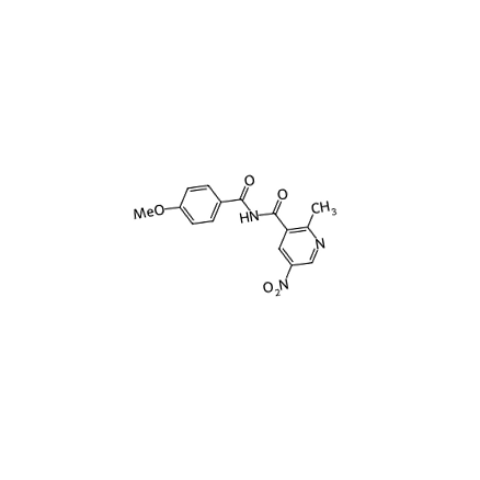 COc1ccc(C(=O)NC(=O)c2cc([N+](=O)[O-])cnc2C)cc1